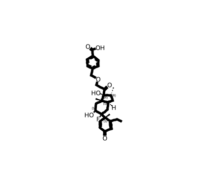 CCC1=CC(=O)C=C[C@]1(C)[C@]1(F)C[C@@H]2C[C@@H](C)[C@](O)(C(=O)COCc3ccc(C(=O)O)cc3)[C@@]2(C)C[C@@H]1O